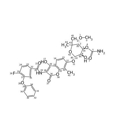 CO[C@@H]1[C@@H](OC(N)=O)[C@@H](O)[C@H](Oc2ccc3c(O)c(NC(=O)c4ccc(F)c(Oc5ccccc5)c4)c(=O)oc3c2C)OC1(C)C